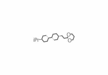 CC(C)[C@H]1CC[C@H]([C@H]2CC[C@H](CCC3OCCCO3)CC2)CC1